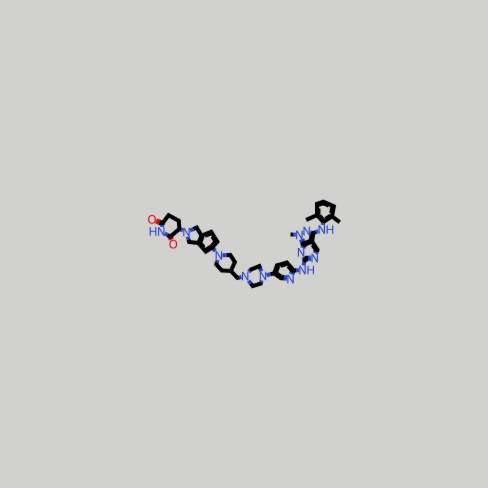 Cc1cccc(C)c1Nc1nn(C)c2nc(Nc3ccc(N4CCN(CC5CCN(c6ccc7c(c6)CN(C6CCC(=O)NC6=O)C7)CC5)CC4)cn3)ncc12